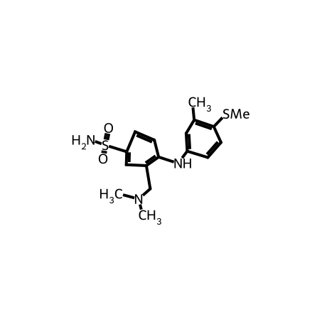 CSc1ccc(Nc2ccc(S(N)(=O)=O)cc2CN(C)C)cc1C